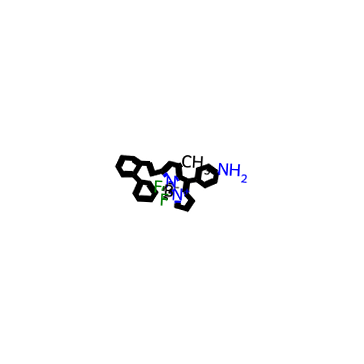 Cc1cc(/C=C/c2ccccc2-c2ccccc2)n2c1C(c1ccc(N)cc1)=C1C=CC=[N+]1[B-]2(F)F